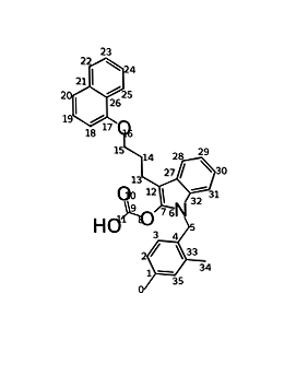 Cc1ccc(Cn2c(OC(=O)O)c(CCCOc3cccc4ccccc34)c3ccccc32)c(C)c1